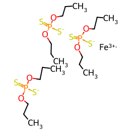 CCCOP(=S)([S-])OCCC.CCCOP(=S)([S-])OCCC.CCCOP(=S)([S-])OCCC.[Fe+3]